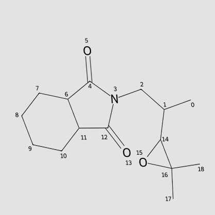 CC(CN1C(=O)C2CCCCC2C1=O)C1OC1(C)C